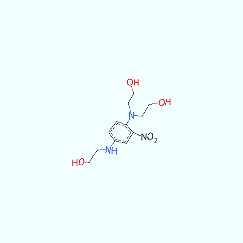 O=[N+]([O-])c1cc(NCCO)ccc1N(CCO)CCO